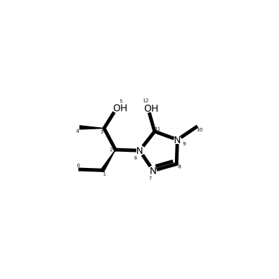 CC[C@@H]([C@@H](C)O)N1N=CN(C)C1O